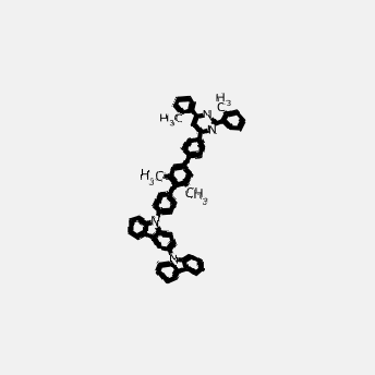 Cc1ccccc1-c1cc(-c2ccc(-c3cc(C)c(-c4ccc(-n5c6ccccc6c6cc(-n7c8ccccc8c8ccccc87)ccc65)cc4)c(C)c3)cc2)nc(-c2ccccc2C)n1